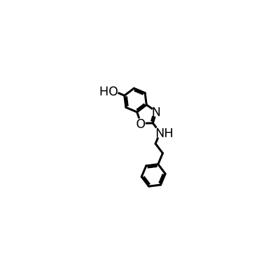 Oc1ccc2nc(NCCc3ccccc3)oc2c1